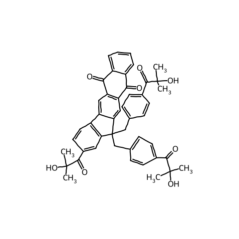 CC(C)(O)C(=O)c1ccc(CC2(Cc3ccc(C(=O)C(C)(C)O)cc3)c3cc(C(=O)C(C)(C)O)ccc3-c3cc4c(cc32)C(=O)c2ccccc2C4=O)cc1